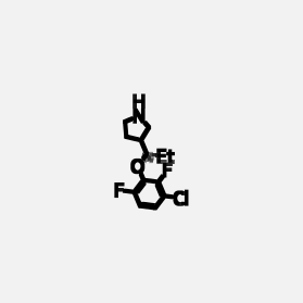 CC[C@H](Oc1c(F)ccc(Cl)c1F)C1CCNC1